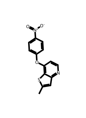 Cc1cc2nccc(Oc3ccc([N+](=O)[O-])cc3)c2s1